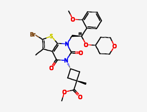 COc1ccccc1[C@H](Cn1c(=O)n([C@H]2C[C@@](C)(C(=O)OC)C2)c(=O)c2c(C)c(Br)sc21)OC1CCOCC1